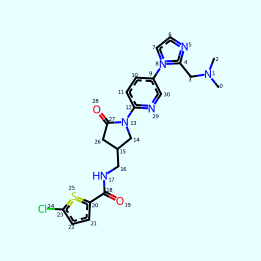 CN(C)Cc1nccn1-c1ccc(N2CC(CNC(=O)c3ccc(Cl)s3)CC2=O)nc1